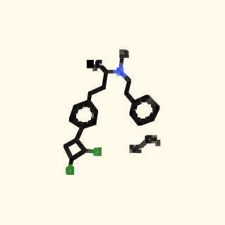 CC#N.CCN(CCc1ccccc1)C(C)CCc1ccc(C2CC(Cl)C2Cl)cc1